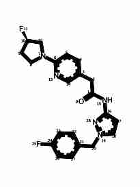 O=C(Cc1ccc(N2CC[C@@H](F)C2)nc1)Nc1ccn(Cc2ccc(F)cc2)n1